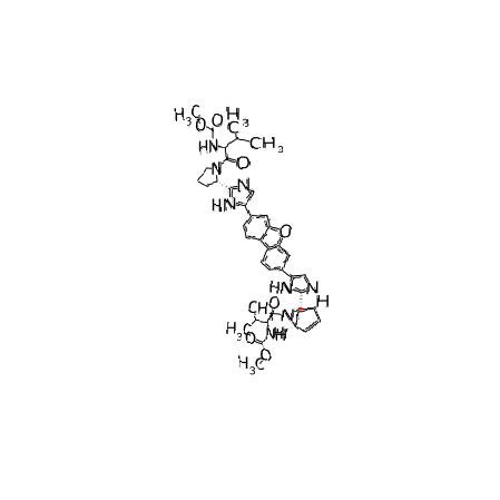 COC(=O)N[C@H](C(=O)N1CCC[C@H]1c1ncc(-c2ccc3c(c2)oc2cc(-c4cnc([C@@H]5[C@H]6C=C[C@H](C6)N5C(=O)[C@@H](NC(=O)OC)C(C)C)[nH]4)ccc23)[nH]1)C(C)C